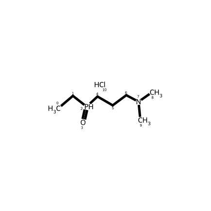 CC[PH](=O)CCCN(C)C.Cl